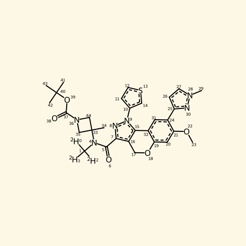 [2H]C([2H])([2H])N(C(=O)c1nn(-c2ccsc2)c2c1COc1cc(OC)c(-c3ccn(C)n3)cc1-2)C1(C)CN(C(=O)OC(C)(C)C)C1